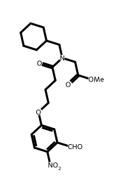 COC(=O)CN(CC1CCCCC1)C(=O)CCCOc1ccc([N+](=O)[O-])c(C=O)c1